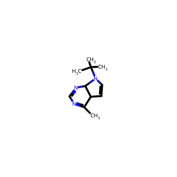 CC1=NC=NC2C1C=CN2C(C)(C)C